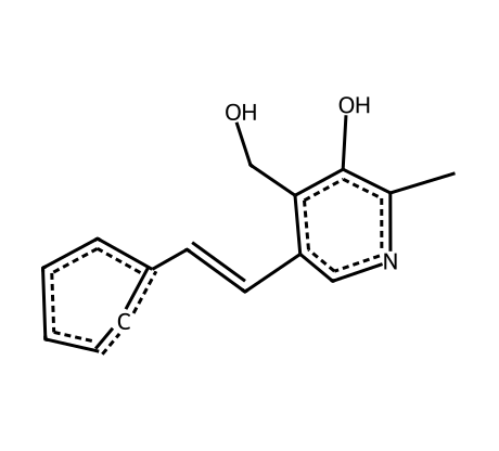 Cc1ncc(C=Cc2ccccc2)c(CO)c1O